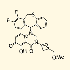 COCC12CC(N3CN([C@@H]4c5ccccc5SCc5c4ccc(F)c5F)n4ccc(=O)c(O)c4C3=O)(C1)C2